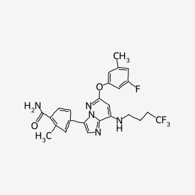 Cc1cc(F)cc(Oc2cc(NCCCC(F)(F)F)c3ncc(-c4ccc(C(N)=O)c(C)c4)n3n2)c1